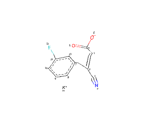 N#C/C(=C/C(=O)[O-])c1cccc(F)c1.[K+]